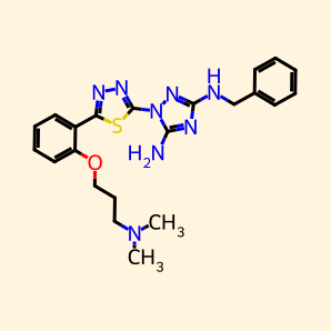 CN(C)CCCOc1ccccc1-c1nnc(-n2nc(NCc3ccccc3)nc2N)s1